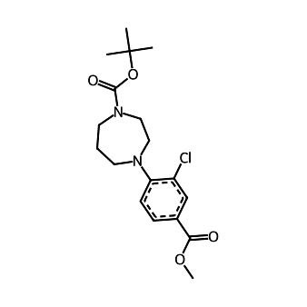 COC(=O)c1ccc(N2CCCN(C(=O)OC(C)(C)C)CC2)c(Cl)c1